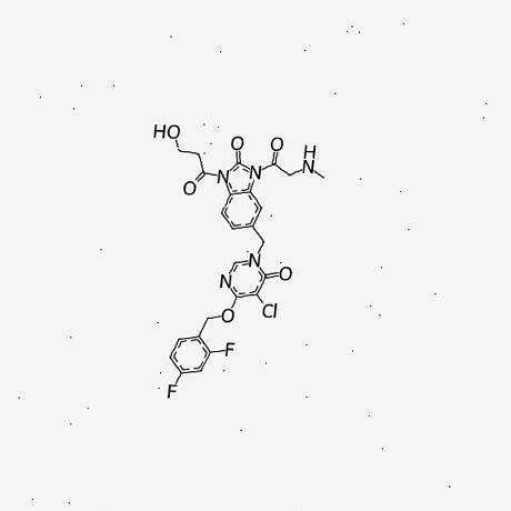 CNCC(=O)n1c(=O)n(C(=O)CCO)c2ccc(Cn3cnc(OCc4ccc(F)cc4F)c(Cl)c3=O)cc21